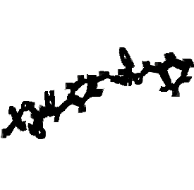 CC(C)(C)OC(=O)NCc1ccc(CNC(=O)OCc2ccccc2)cc1